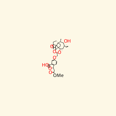 C=C[C@@]1(C)C[C@@H](OC(=O)COc2ccc3c(c2)B(O)OC3CC(=O)OC)[C@]2(C)[C@@H]3C(=O)CC[C@@]3(CC[C@@H]2C)[C@@H](C)[C@@H]1O